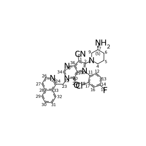 N#Cc1c(N2CCC[C@H](N)C2)n(-c2ccc(F)cc2Cl)c2c(=O)n(Cc3nccc4ccccc34)cnc12